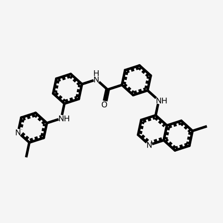 Cc1ccc2nccc(Nc3cccc(C(=O)Nc4cccc(Nc5ccnc(C)c5)c4)c3)c2c1